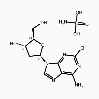 NP(=O)(O)O.Nc1nc(Cl)nc2c1ncn2[C@H]1C[C@H](O)[C@@H](CO)O1